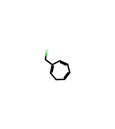 ClCC1=CCC=CC=C1